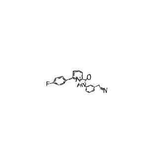 N#CCc1cccc(NC(=O)c2cccc(-c3ccc(F)cc3)n2)c1